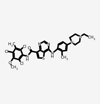 CCN1CCN(c2ccc(Nc3ncnc4c(C(=O)Nc5c(Cl)c(C)c(Cl)c(OC)c5Cl)csc34)c(C)c2)CC1